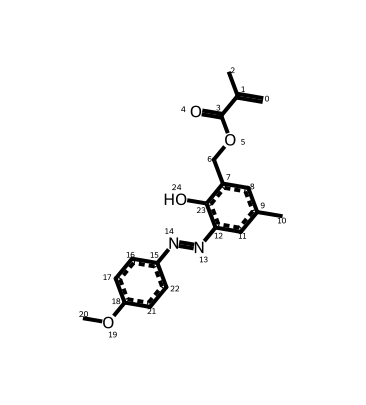 C=C(C)C(=O)OCc1cc(C)cc(N=Nc2ccc(OC)cc2)c1O